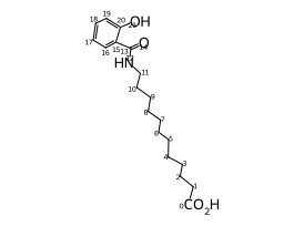 O=C(O)CCCCCCCCCCCNC(=O)c1ccccc1O